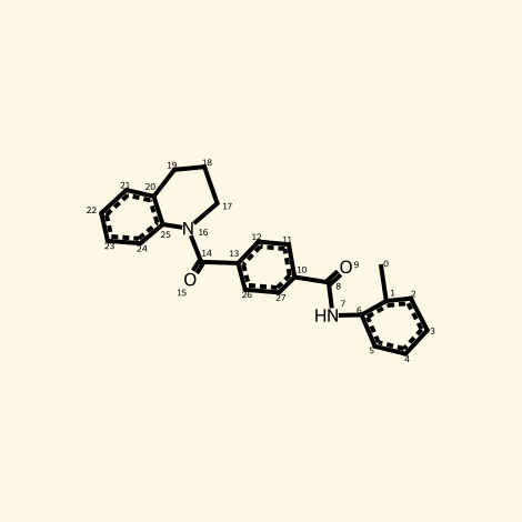 Cc1ccccc1NC(=O)c1ccc(C(=O)N2CCCc3ccccc32)cc1